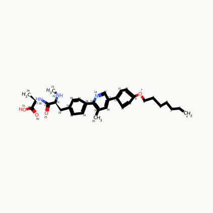 CCCCCCCOc1ccc(-c2cnc(-c3ccc(C[C@H](NC)C(=O)N[C@H](C)C(=O)O)cc3)c(C)c2)cc1